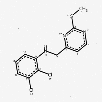 CSc1nccc(CNc2cccc(Cl)c2Cl)n1